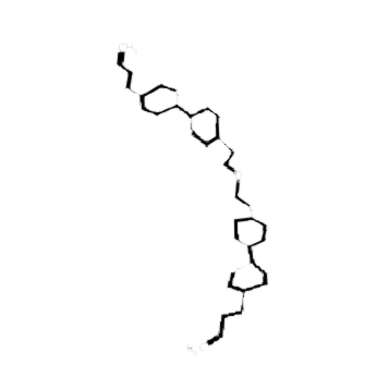 C=CCC[C@H]1CC[C@H]([C@H]2CC[C@H](CCOCC[C@H]3CC[C@H]([C@H]4CC[C@H](CCC=C)CC4)CC3)CC2)CC1